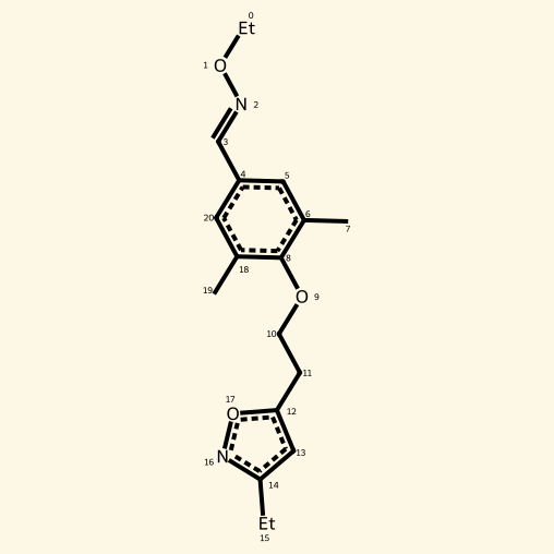 CCON=Cc1cc(C)c(OCCc2cc(CC)no2)c(C)c1